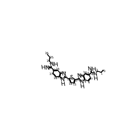 CCCNC(=N)c1ccc2[nH]c(-c3ccc(-c4nc5cc(C(=N)NCCC)ccc5[nH]4)s3)nc2c1